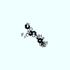 CS(=O)(=O)Nc1ccc(CNC(=O)/C=C\c2ccc(C(F)(F)F)nc2Oc2cccnc2)cc1F